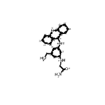 NC(=O)CNc1cc(CO)cc(Nc2c3ccccc3nc3ccccc23)c1